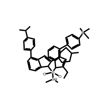 CCC1=Cc2c(-c3ccc([Si](C)(C)C)cc3)cccc2[CH]1[Zr]([Cl])([Cl])([CH]1C(C2CCC(C)CC2)=Cc2c(-c3ccc(C(C)C)cc3)cccc21)[SiH](C)C